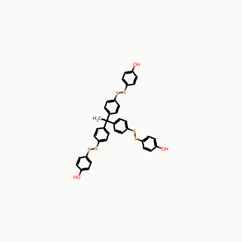 CC(c1ccc(SSc2ccc(O)cc2)cc1)(c1ccc(SSc2ccc(O)cc2)cc1)c1ccc(SSc2ccc(O)cc2)cc1